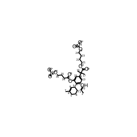 C=C(C)[C@@H]1CCC(C)=C[C@H]1c1c(O)cc(C(C)(C)C(=O)OCCCCO[N+](=O)[O-])cc1OC(=O)CCCO[N+](=O)[O-]